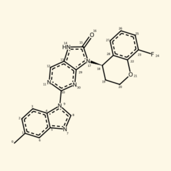 Cc1ccc2c(c1)ncn2-c1ncc2[nH]c(=O)n([C@@H]3CCOc4c(F)cccc43)c2n1